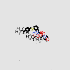 CC(OC(=O)[C@H](Cc1cccc(SCc2ccc(C(C)(C)C)cc2)c1)NC(=O)OC(C)(C)C)C(=O)N1CCOCC1